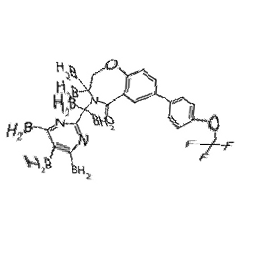 Bc1nc(C(B)(B)N2C(=O)c3cc(-c4ccc(OC(F)(F)F)cc4)ccc3OCC2(B)B)nc(B)c1B